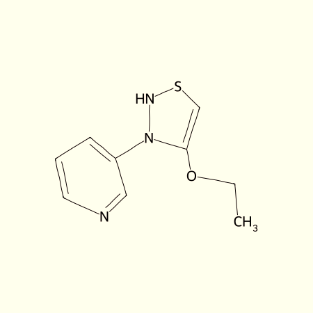 CCOC1=CSNN1c1cccnc1